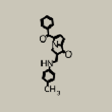 Cc1ccc(NCC2Cn3c(C(=O)c4ccccc4)ccc3C2=O)cc1